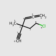 C#CC(C)(C=C=C)CCCl